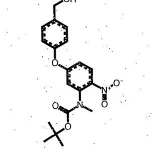 CN(C(=O)OC(C)(C)C)c1cc(Oc2ccc(CO)cc2)ccc1[N+](=O)[O-]